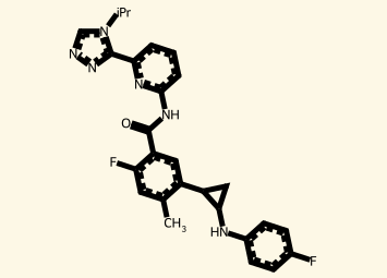 Cc1cc(F)c(C(=O)Nc2cccc(-c3nncn3C(C)C)n2)cc1C1CC1Nc1ccc(F)cc1